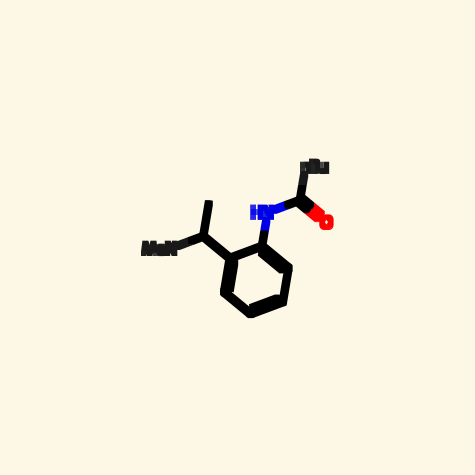 CCCCC(=O)Nc1ccccc1C(C)NC